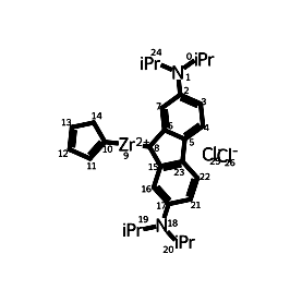 CC(C)N(c1ccc2c(c1)[CH]([Zr+2][C]1=CC=CC1)c1cc(N(C(C)C)C(C)C)ccc1-2)C(C)C.[Cl-].[Cl-]